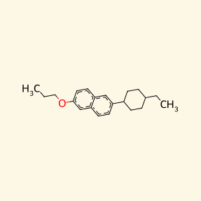 CCCOc1ccc2cc(C3CCC(CC)CC3)ccc2c1